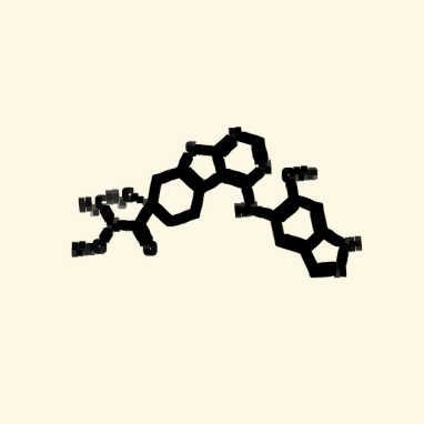 COc1cc2[nH]ncc2cc1Nc1ncnc2sc3c(c12)CC[C@@](C)(C(=O)N(C)OC)C3